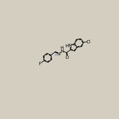 O=C(N/N=C/c1ccc(F)cc1)c1cc2cc(Cl)ccc2[nH]1